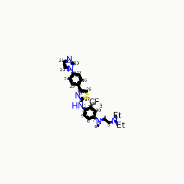 CCN(CC)CCN(C)c1ccc(Nc2nc(-c3ccc(-n4ccnc4)cc3)cs2)c(C(F)(F)F)c1